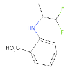 CC(Nc1ccccc1C(=O)O)C(F)F